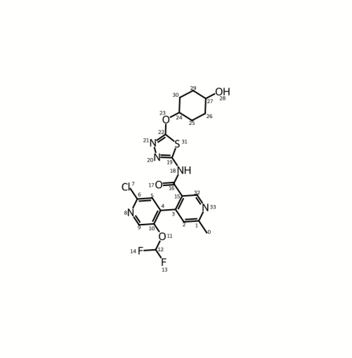 Cc1cc(-c2cc(Cl)ncc2OC(F)F)c(C(=O)Nc2nnc(OC3CCC(O)CC3)s2)cn1